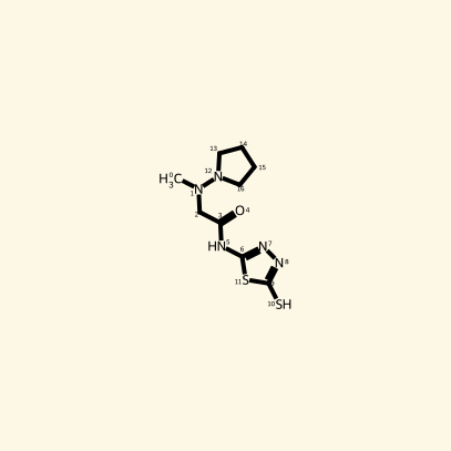 CN(CC(=O)Nc1nnc(S)s1)N1CCCC1